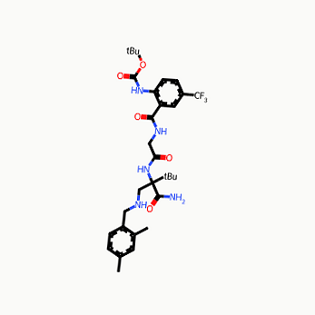 Cc1ccc(CNCC(NC(=O)CNC(=O)c2cc(C(F)(F)F)ccc2NC(=O)OC(C)(C)C)(C(N)=O)C(C)(C)C)c(C)c1